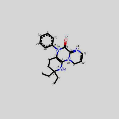 CCC1(CC)CCC2=C(N1)N1CC=CN=C1C(=O)N2c1ccccc1